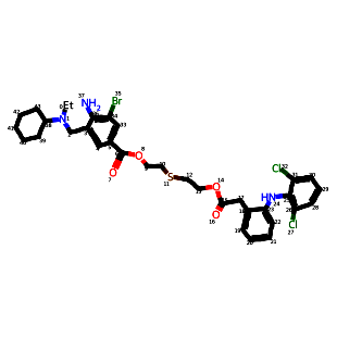 CCN(Cc1cc(C(=O)OCCSCCOC(=O)Cc2ccccc2Nc2c(Cl)cccc2Cl)cc(Br)c1N)C1CCCCC1